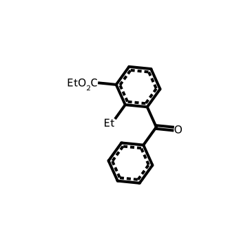 CCOC(=O)c1cccc(C(=O)c2ccccc2)c1CC